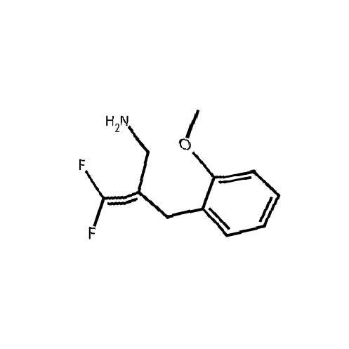 COc1ccccc1CC(CN)=C(F)F